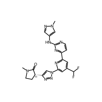 CN1CC[C@@H](c2cn(-c3cc(C(F)F)cc(-c4ccnc(Nc5cnn(C)c5)n4)n3)nn2)C1=O